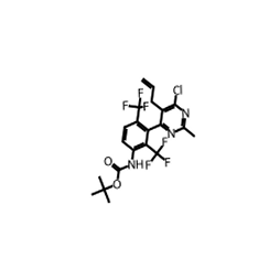 C=CCc1c(Cl)nc(C)nc1-c1c(C(F)(F)F)ccc(NC(=O)OC(C)(C)C)c1C(F)(F)F